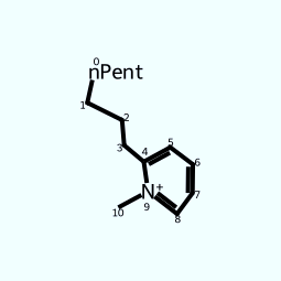 CCCCCCCCc1cccc[n+]1C